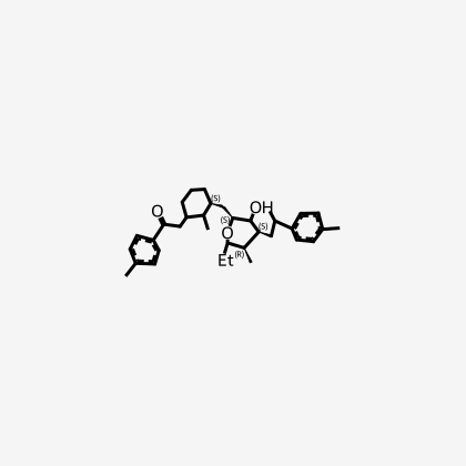 CCC1O[C@@H](C[C@@H]2CCCC(CC(=O)c3ccc(C)cc3)C2C)C(O)[C@@H](CC(C)c2ccc(C)cc2)[C@H]1C